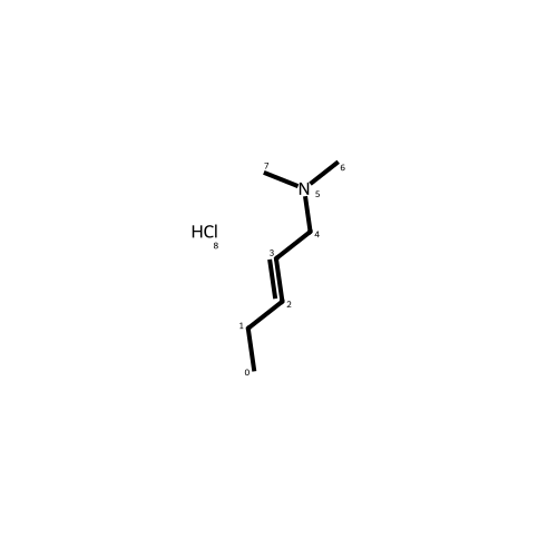 CCC=CCN(C)C.Cl